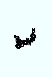 CCOC(=O)CN(c1ccc2c(c1)nc(C(C)(C)Oc1ccc(C#N)cc1)n2C)S(=O)(=O)c1ccccc1